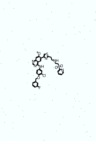 COc1cc2ncnc(Nc3ccc(OCc4cccc(F)c4)c(Cl)c3)c2cc1-c1csc(CCNCCS(=O)(=O)c2ccccn2)n1